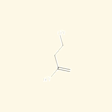 [CH2]CCCCC(=C)CCC